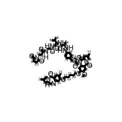 COc1cc2c(cc1OCCCCCOc1cc3c(cc1C)C(=O)N1C=C(C)C[C@H]1C=N3)N(C(=O)OCc1ccc(NNC(C)C(=O)N[C@H](C(=O)NC(=O)CNC(=O)CCN3C(=O)C=CC3=O)C(C)C)cc1)[C@@H](O)[C@@H]1CC(C)=CN1C2=O